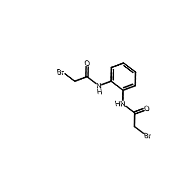 O=C(CBr)Nc1ccccc1NC(=O)CBr